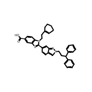 O=C(O)c1ccc2c(c1)nc(-c1ccc3cn(CCC(c4ccccc4)c4ccccc4)nc3c1)n2CCC1=CCCCC1